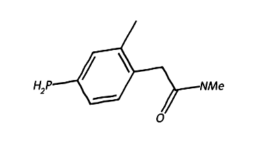 CNC(=O)Cc1ccc(P)cc1C